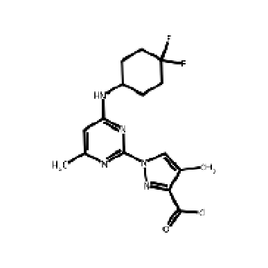 Cc1cc(NC2CCC(F)(F)CC2)nc(-n2cc(C)c(C(=O)Cl)n2)n1